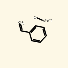 C=Cc1ccccc1.CCCCCCl